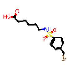 O=C(O)CCCCCNS(=O)(=O)c1ccc(CBr)cc1